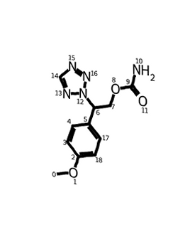 COc1ccc(C(COC(N)=O)n2ncnn2)cc1